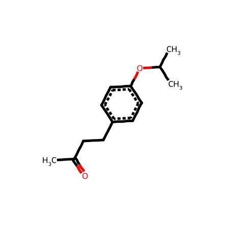 CC(=O)CCc1ccc(OC(C)C)cc1